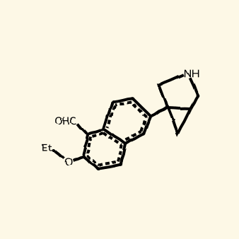 CCOc1ccc2cc(C34CNCC3C4)ccc2c1C=O